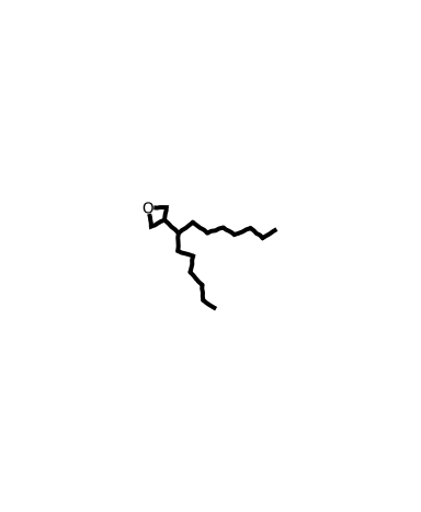 CCCCCCCC(CCCCCC)C1COC1